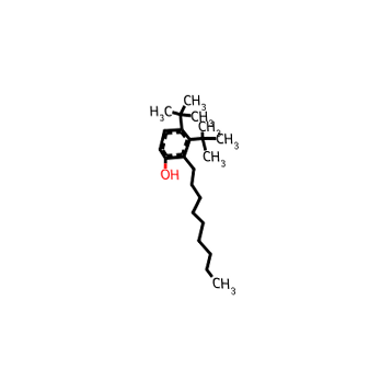 CCCCCCCCCc1c(O)ccc(C(C)(C)C)c1C(C)(C)C